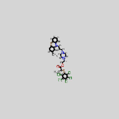 CC(Sc1c(Cl)c(Cl)c(Cl)c(Cl)c1Cl)C(=O)OCCN1CCN(CCCN2c3ccccc3Sc3ccc(C(F)(F)F)cc32)CC1